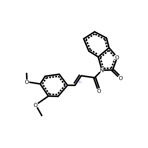 COc1ccc(/C=C/C(=O)n2c(=O)oc3ccccc32)cc1OC